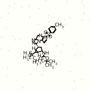 Cc1ccc(S(=O)(=O)n2ccc3c2ncc2nnc([C@H]4C[C@@H](NC(=O)OC(C)(C)C)[C@@H]5C([Si](C)(C)C)[C@@H]54)n23)cc1